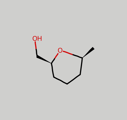 C[C@H]1CCC[C@@H](CO)O1